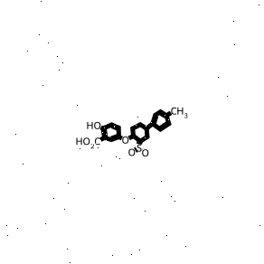 Cc1ccc(C2CCC(Oc3ccc(O)c(C(=O)O)c3)C(=S(=O)=O)C2)cc1